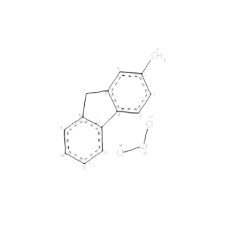 Cc1c[c]c2c(c1)Cc1ccccc1-2.[Cl][Zr][Cl]